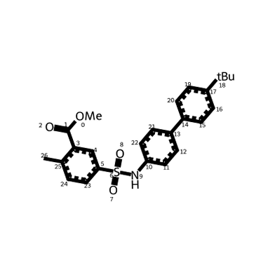 COC(=O)c1cc(S(=O)(=O)Nc2ccc(-c3ccc(C(C)(C)C)cc3)cc2)ccc1C